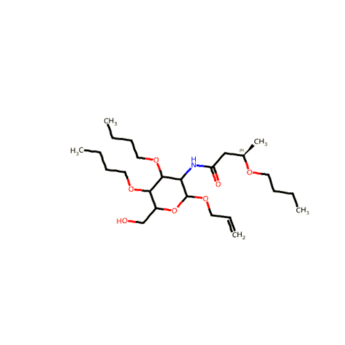 C=CCOC1OC(CO)C(OCCCC)C(OCCCC)C1NC(=O)C[C@@H](C)OCCCC